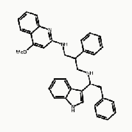 COc1cc(NCC(CN[C@@H](Cc2ccccc2)c2c[nH]c3ccccc23)c2ccccc2)nc2ccccc12